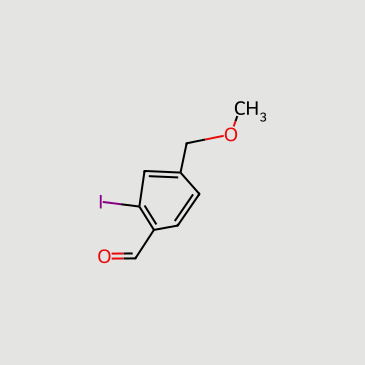 COCc1ccc(C=O)c(I)c1